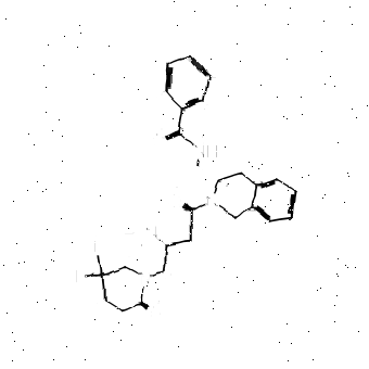 N[C@@H](CC(=O)N1Cc2ccccc2C[C@H]1CNC(=O)c1ccccc1)CN1CC(F)(F)CCC1=O